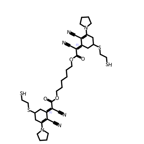 N#CC1=C(N2CCCC2)CC(SCCS)C/C1=C(/C#N)C(=O)OCCCCCCOC(=O)/C(C#N)=C1\CC(SCCS)CC(N2CCCC2)=C1C#N